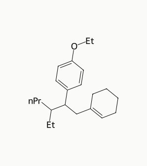 CCCC(CC)C(CC1=CCCCC1)c1ccc(OCC)cc1